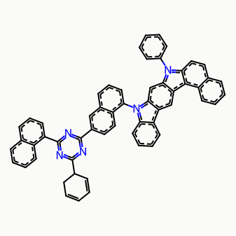 C1=CCC(c2nc(-c3ccc4c(-n5c6ccccc6c6cc7c8c9ccccc9ccc8n(-c8ccccc8)c7cc65)cccc4c3)nc(-c3cccc4ccccc34)n2)C=C1